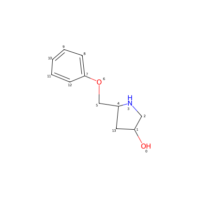 OC1CNC(COc2ccccc2)C1